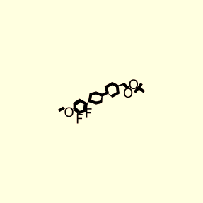 CCOc1ccc([C@H]2CC[C@H]([C@H]3CC[C@H](CC(=O)OC(C)(C)C)CC3)CC2)c(F)c1F